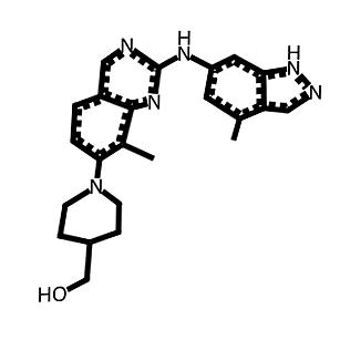 Cc1cc(Nc2ncc3ccc(N4CCC(CO)CC4)c(C)c3n2)cc2[nH]ncc12